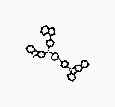 C1=C(c2ccc(-n3c4ccccc4c4cc5ccccc5cc43)cc2)CCC(N(c2ccc(-c3cccc4ccccc34)cc2)c2ccc3sc4ccccc4c3c2)=C1